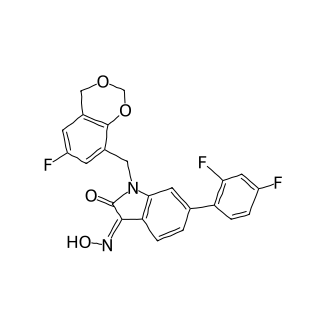 O=C1/C(=N\O)c2ccc(-c3ccc(F)cc3F)cc2N1Cc1cc(F)cc2c1OCOC2